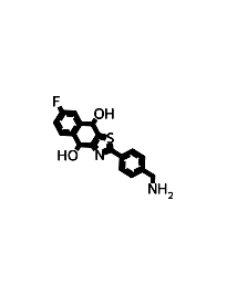 NCc1ccc(-c2nc3c(s2)C(O)c2cc(F)ccc2C3O)cc1